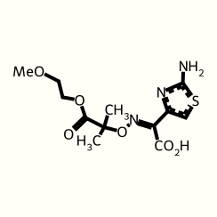 COCCOC(=O)C(C)(C)O/N=C(\C(=O)O)c1csc(N)n1